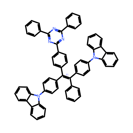 c1ccc(/C(=C(/c2ccc(-c3nc(-c4ccccc4)nc(-c4ccccc4)n3)cc2)c2ccc(-n3c4ccccc4c4ccccc43)cc2)c2ccc(-n3c4ccccc4c4ccccc43)cc2)cc1